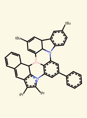 CC(C)c1c2c3n(c1C(C)C)-c1cc(-c4ccccc4)cc4c1B(C1=CC(C(C)(C)C)=CC5c6cc(C(C)(C)C)ccc6N4C15)C3C1C=CC=CC1=C2